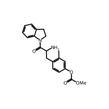 COC(=O)Oc1ccc(CC(N)C(=O)N2CCc3ccccc32)c(C)c1